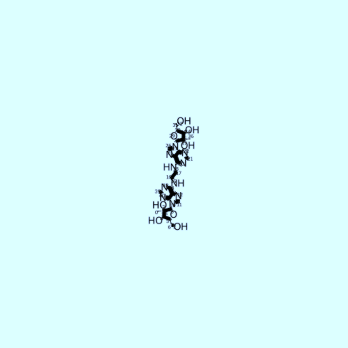 C[C@@]1(O)[C@H](O)[C@@H](CO)O[C@H]1n1cnc2c(NCCNc3ncnc4c3ncn4[C@@H]3O[C@H](CO)[C@@H](O)[C@@]3(C)O)ncnc21